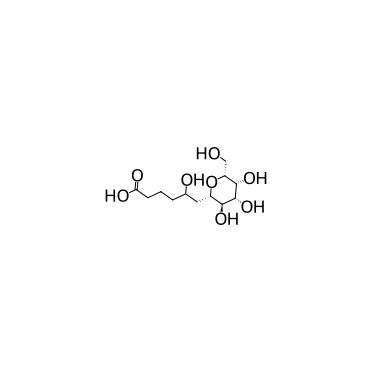 O=C(O)CCCC(O)C[C@@H]1O[C@H](CO)[C@H](O)[C@H](O)[C@H]1O